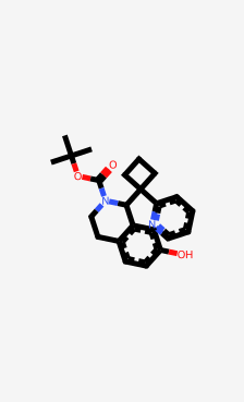 CC(C)(C)OC(=O)N1CCc2ccc(O)cc2C1C1(c2ccccn2)CCC1